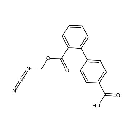 [N-]=[N+]=NCOC(=O)c1ccccc1-c1ccc(C(=O)O)cc1